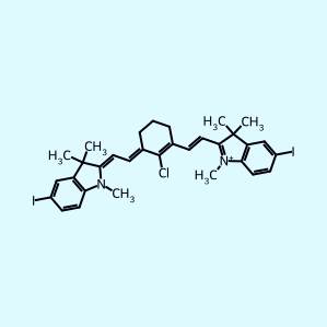 CN1/C(=C\C=C2/CCCC(/C=C/C3=[N+](C)c4ccc(I)cc4C3(C)C)=C2Cl)C(C)(C)c2cc(I)ccc21